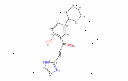 O=C(C=Cc1ncc[nH]1)c1cc(C2CCCCC2)ccc1O